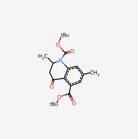 Cc1cc(C(=O)OC(C)(C)C)c2c(c1)N(C(=O)OC(C)(C)C)C(C)CC2=O